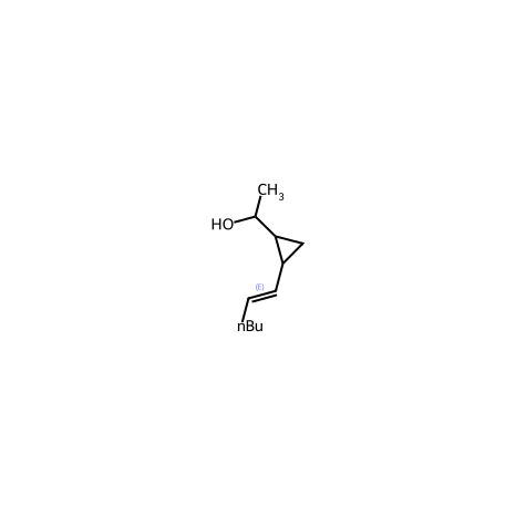 CCCC/C=C/C1CC1C(C)O